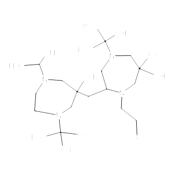 CC(C)N1CCN(C(C)(C)C)CC(C)(CC2CN(C(C)(C)C)CC(C)(C)CN2CCF)C1